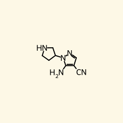 N#Cc1cnn(C2CCNC2)c1N